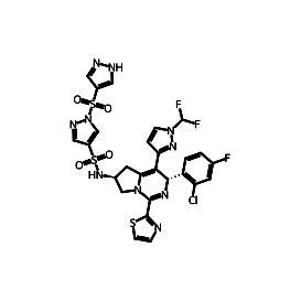 O=S(=O)(N[C@H]1CC2=C(c3ccn(C(F)F)n3)[C@H](c3ccc(F)cc3Cl)N=C(c3nccs3)N2C1)c1cnn(S(=O)(=O)c2cn[nH]c2)c1